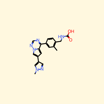 Cc1cc(-c2ncnn3cc(-c4cnn(C)c4)cc23)ccc1CNC(=O)O